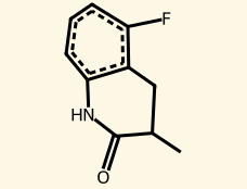 CC1Cc2c(F)cccc2NC1=O